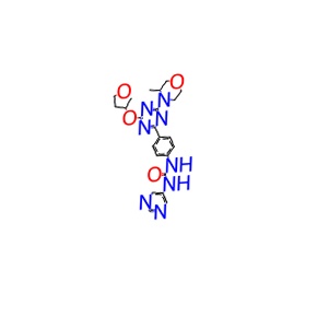 CC1COCCN1c1nc(OC2CCOC2)nc(-c2ccc(NC(=O)Nc3cncnc3)cc2)n1